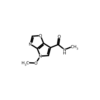 CNC(=O)c1cn(OC)c2ncoc12